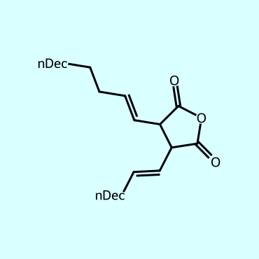 CCCCCCCCCC/C=C/C1C(=O)OC(=O)C1/C=C/CCCCCCCCCCCC